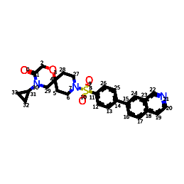 O=C1COC2(CCN(S(=O)(=O)c3ccc(-c4ccc5ccncc5c4)cc3)CC2)CN1C1CC1